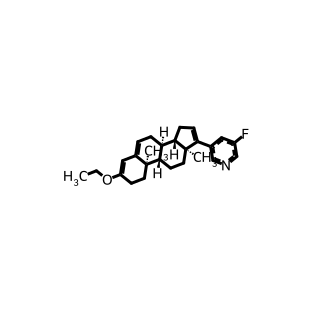 CCOC1=CC2=CC[C@@H]3[C@H](CC[C@]4(C)C(c5cncc(F)c5)=CC[C@@H]34)[C@@]2(C)CC1